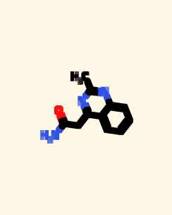 Cc1nc(CC(N)=O)c2ccccc2n1